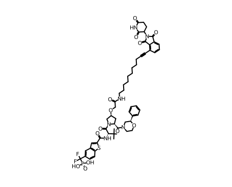 CC(C)(C)[C@H](NC(=O)c1cc2cc(C(F)(F)P(=O)(O)O)ccc2s1)C(=O)N1C[C@@H](OCC(=O)NCCCCCCCCCC#Cc2cccc3c2C(=O)N(C2CCC(=O)NC2=O)C3=O)C[C@H]1C(=O)N1CCO[C@H](c2ccccc2)C1